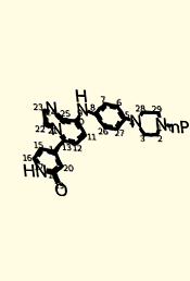 CCCN1CCN(c2ccc(Nc3ccc(-c4cc[nH]c(=O)c4)n4ccnc34)cc2)CC1